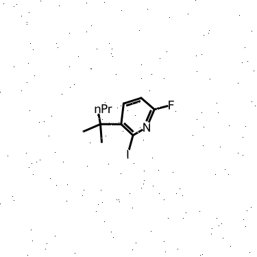 CCCC(C)(C)c1ccc(F)nc1I